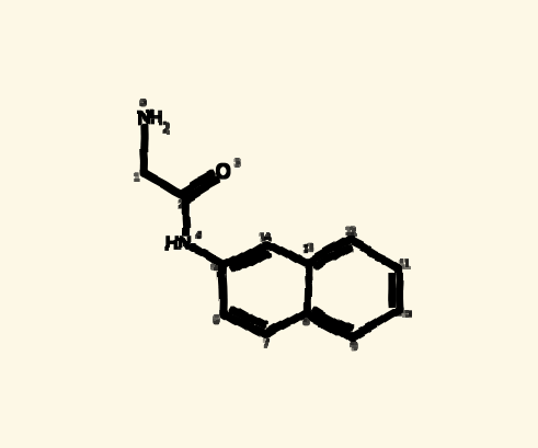 NCC(=O)Nc1ccc2c[c]ccc2c1